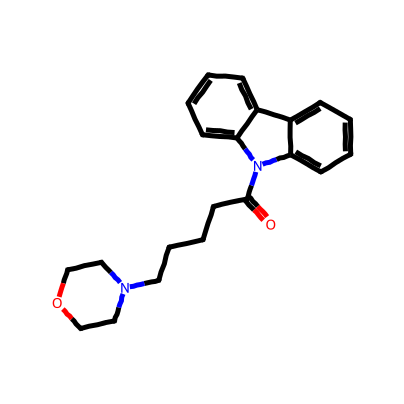 O=C(CCCCN1CCOCC1)n1c2ccccc2c2ccccc21